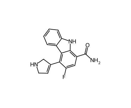 NC(=O)c1cc(F)c(C2=CCNC2)c2c1[nH]c1ccccc12